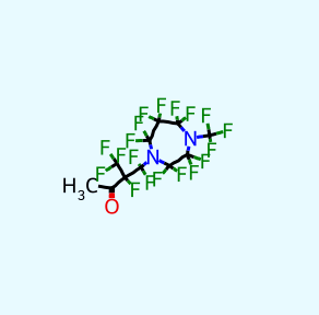 CC(=O)C(F)(C(F)(F)F)C(F)(F)N1C(F)(F)C(F)(F)N(C(F)(F)F)C(F)(F)C(F)(F)C1(F)F